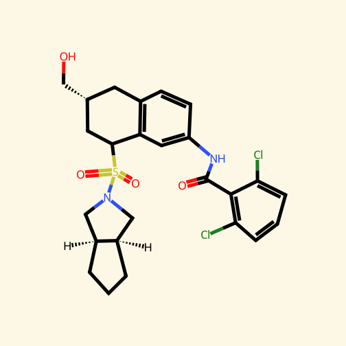 O=C(Nc1ccc2c(c1)C(S(=O)(=O)N1C[C@H]3CCC[C@H]3C1)C[C@H](CO)C2)c1c(Cl)cccc1Cl